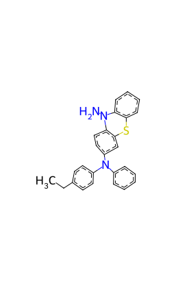 CCc1ccc(N(c2ccccc2)c2ccc3c(c2)Sc2ccccc2N3N)cc1